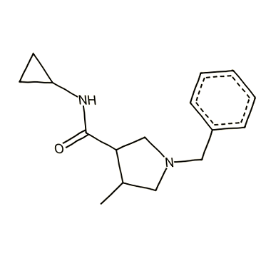 CC1CN(Cc2ccccc2)CC1C(=O)NC1CC1